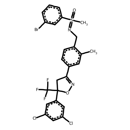 Cc1cc(C2=NOC(c3cc(Cl)cc(Cl)c3)(C(F)(F)F)C2)ccc1CN=S(C)(=O)c1cccc(Br)c1